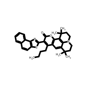 CCCCc1c(-c2nc3c(ccc4ccccc43)s2)c(=O)oc2c3c4c(cc12)C(C)(C)CCN4CCC3(C)C